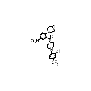 O=C(c1cc([N+](=O)[O-])ccc1N1CCOCC1)N1CCN(c2ccc(C(F)(F)F)cc2Cl)CC1